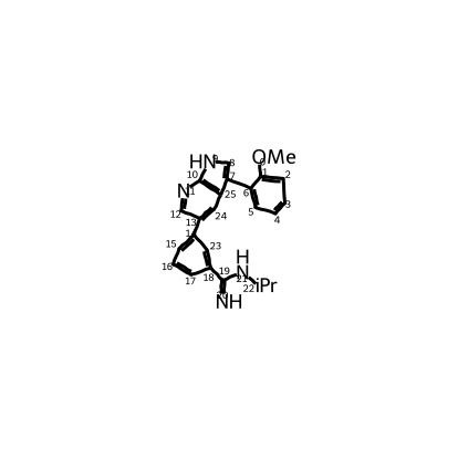 COc1ccccc1-c1c[nH]c2ncc(-c3cccc(C(=N)NC(C)C)c3)cc12